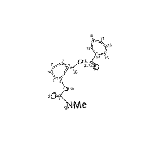 CNC(=O)Oc1ccccc1COC(=O)c1ccccc1